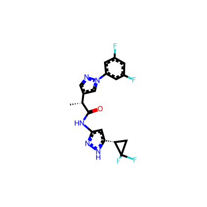 C[C@@H](C(=O)Nc1cc([C@@H]2CC2(F)F)[nH]n1)c1cnn(-c2cc(F)cc(F)c2)c1